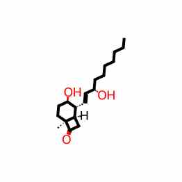 CCCCCCC[C@H](O)/C=C/[C@H]1[C@H](O)CC[C@]2(C)C(=O)C[C@H]12